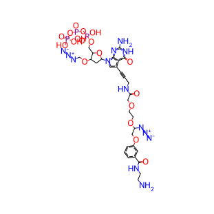 [N-]=[N+]=NCOC1CC(n2cc(C#CCNC(=O)COCCOC(COc3cccc(C(=O)NCCN)c3)N=[N+]=[N-])c3c(=O)[nH]c(N)nc32)OC1COP(=O)(O)OP(=O)(O)OP(=O)(O)O